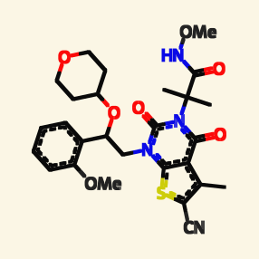 CONC(=O)C(C)(C)n1c(=O)c2c(C)c(C#N)sc2n(CC(OC2CCOCC2)c2ccccc2OC)c1=O